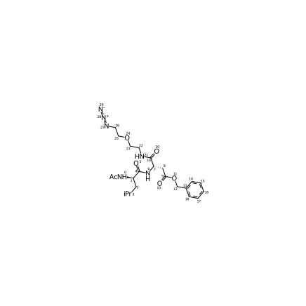 CC(=O)N[C@H](CC(C)C)C(=O)N[C@@H](CC(=O)OCc1ccccc1)C(=O)NCCOCCN=[N+]=[N-]